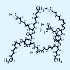 CCCCCC/C=C\COC(=O)CN(CC(=O)OC(CCCCC)CCCCCCN(C)CCSC(=O)N(CC(=O)OC/C=C\CCCCCC)CC(=O)OC(CCCCCCCC)CCCCCCCC)C(=O)SCCN(C)C